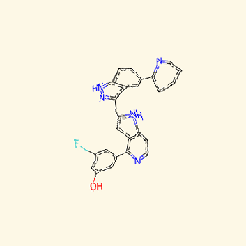 Oc1cc(F)cc(-c2nccc3[nH]c(-c4n[nH]c5ccc(-c6ccccn6)cc45)cc23)c1